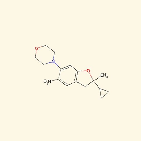 CC1(C2CC2)Cc2cc([N+](=O)[O-])c(N3CCOCC3)cc2O1